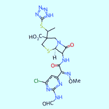 CON=C(C(=O)NC1C(=O)N2CC(C(=O)O)(C(C)Sc3nnn[nH]3)CS[C@H]12)c1cc(Cl)nc(NC=O)n1